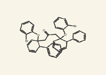 O=C(CC1(Oc2ccccc2Br)C=CC=CC1c1ccccc1)CC1(Oc2ccccc2Br)C=CC=CC1c1ccccc1